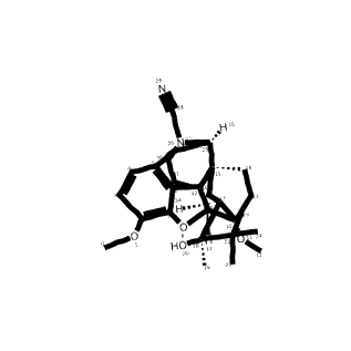 COc1ccc2c3c1O[C@H]1[C@]4(OC)CC[C@@]5(C[C@@H]4[C@](C)(O)C(C)(C)C)[C@@H](C2)N(C#N)CC[C@]315